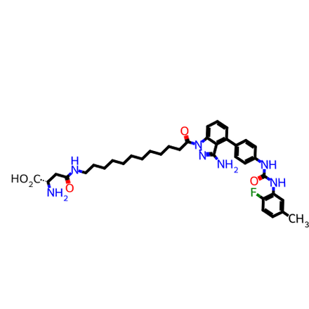 Cc1ccc(F)c(NC(=O)Nc2ccc(-c3cccc4c3c(N)nn4C(=O)CCCCCCCCCCCNC(=O)C[C@H](N)C(=O)O)cc2)c1